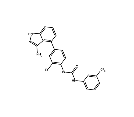 CCc1cc(-c2cccc3[nH]nc(N)c23)ccc1NC(=O)Nc1cccc(C(F)(F)F)c1